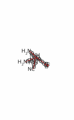 N#CCCOCCOCCC(=O)NCCCC(=O)NC(CCCCNC(=O)CCOCCOCCN)C(=O)N[C@@H](CCCCNC(=O)CCOCCOCCN)C(=O)NCCOCCOCCOCCOCCC(=O)Oc1c(F)c(F)c(F)c(F)c1F